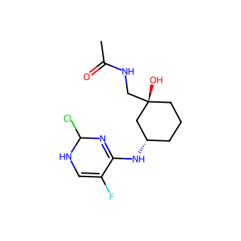 CC(=O)NC[C@]1(O)CCC[C@H](NC2=NC(Cl)NC=C2F)C1